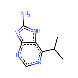 CC(C)c1ncnc2nc(N)[nH]c12